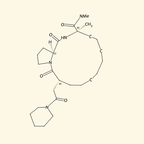 CNC(=O)[C@@]1(C)CCCCCCCC[C@H](CC(=O)N2CCCCC2)C(=O)N2CCC[C@H]2C(=O)N1